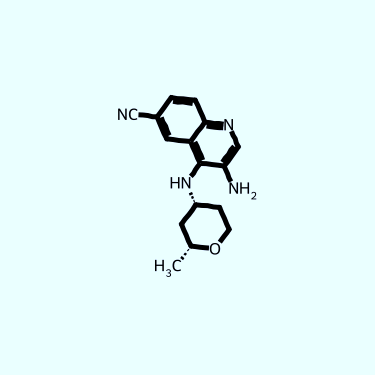 C[C@@H]1C[C@H](Nc2c(N)cnc3ccc(C#N)cc23)CCO1